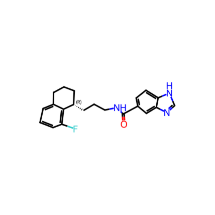 O=C(NCCC[C@H]1CCCc2cccc(F)c21)c1ccc2[nH]cnc2c1